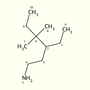 CCC(CCN)C(C)(C)CC